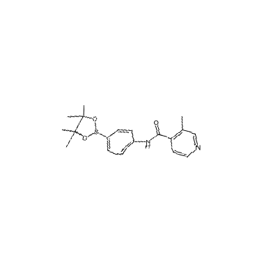 Cc1cnccc1C(=O)Nc1ccc(B2OC(C)(C)C(C)(C)O2)cc1